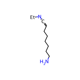 CCN=C=CCCCCCCN